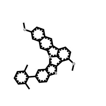 COc1ccc2cc3c4ccc(OC)c5c6sc7ccc(-c8c(C)cccc8C)cc7c6n(c3cc2c1)c45